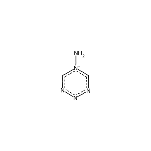 N[n+]1cnnnc1